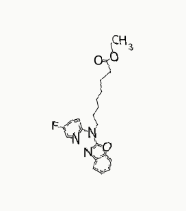 CCOC(=O)CCCCCCCN(c1ccc(F)cn1)c1nc2ccccc2o1